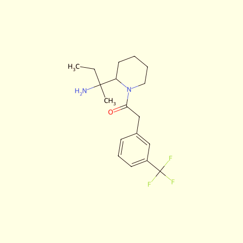 CCC(C)(N)C1CCCCN1C(=O)Cc1cccc(C(F)(F)F)c1